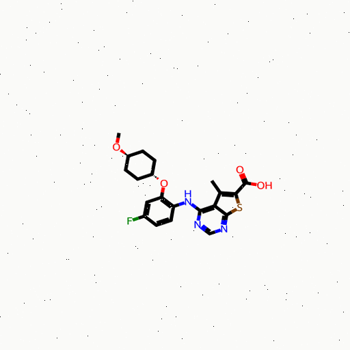 CO[C@H]1CC[C@H](Oc2cc(F)ccc2Nc2ncnc3sc(C(=O)O)c(C)c23)CC1